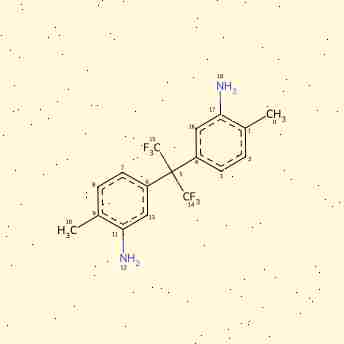 Cc1ccc(C(c2ccc(C)c(N)c2)(C(F)(F)F)C(F)(F)F)cc1N